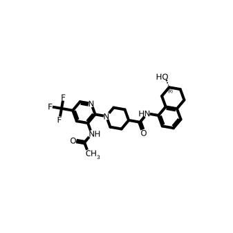 CC(=O)Nc1cc(C(F)(F)F)cnc1N1CCC(C(=O)Nc2cccc3c2C[C@H](O)CC3)CC1